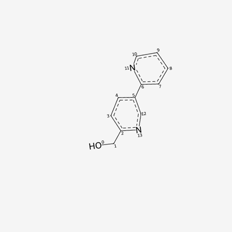 OCc1ccc(-c2ccccn2)cn1